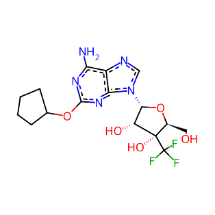 Nc1nc(OC2CCCC2)nc2c1ncn2[C@@H]1O[C@@H](CO)[C@@](O)(C(F)(F)F)[C@@H]1O